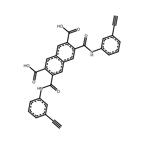 C#Cc1cccc(NC(=O)c2cc3cc(C(=O)Nc4cccc(C#C)c4)c(C(=O)O)cc3cc2C(=O)O)c1